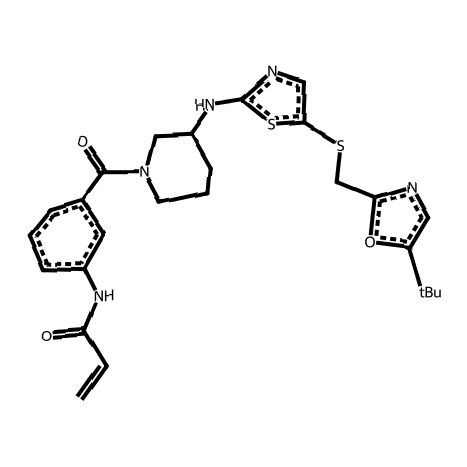 C=CC(=O)Nc1cccc(C(=O)N2CCCC(Nc3ncc(SCc4ncc(C(C)(C)C)o4)s3)C2)c1